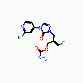 NC(=O)OC/C(=C/F)Cn1ncn(-c2ccnc(Br)c2)c1=O